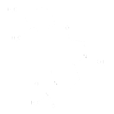 Cc1ccc(OCCN(C)C2CCN(S(C)(=O)=O)CC2)cc1C